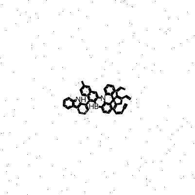 C#C/C=C\C=C1/CC(C=C)=C(/C=C\C)C12c1ccccc1N1c3cc4cc(C)ccc4c(C4=CCCc5c4[nH]c4ccccc54)c3Bc3cccc2c31